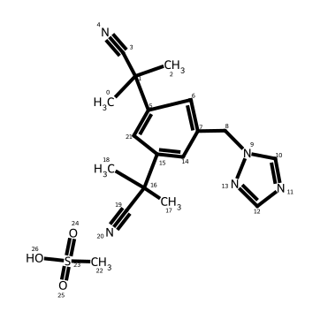 CC(C)(C#N)c1cc(Cn2cncn2)cc(C(C)(C)C#N)c1.CS(=O)(=O)O